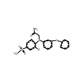 NC(=O)CN(c1cccc(Oc2ccccc2)c1)c1ccc(S(N)(=O)=O)cc1Cl